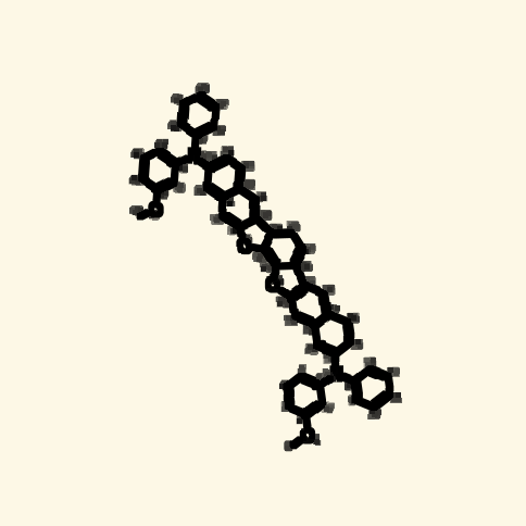 COc1cccc(N(c2ccccc2)c2ccc3cc4c(cc3c2)oc2c4ccc3c4cc5ccc(N(c6ccccc6)c6cccc(OC)c6)cc5cc4oc32)c1